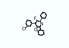 Fc1c(-c2ccccc2)nc2c(oc3ccccc32)c1-c1cccc(Cl)c1